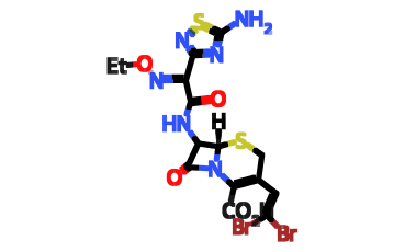 CCON=C(C(=O)NC1C(=O)N2C(C(=O)O)=C(C=C(Br)Br)CS[C@@H]12)c1nsc(N)n1